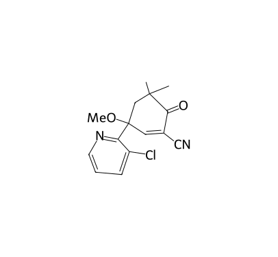 COC1(c2ncccc2Cl)C=C(C#N)C(=O)C(C)(C)C1